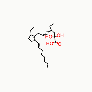 CCCCCC/C=C/C1=C(CC=C=C(CC)CC(O)(O)C(=O)O)[C@@H](CC)CC1